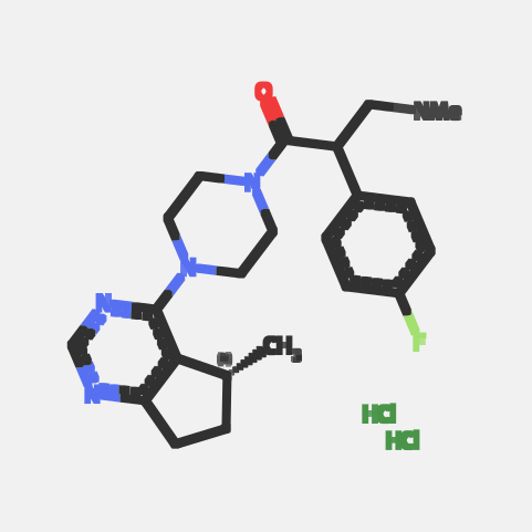 CNCC(C(=O)N1CCN(c2ncnc3c2[C@H](C)CC3)CC1)c1ccc(F)cc1.Cl.Cl